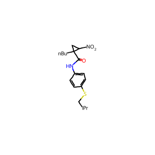 CCCCC1(C(=O)Nc2ccc(SCC(C)C)cc2)CC1[N+](=O)[O-]